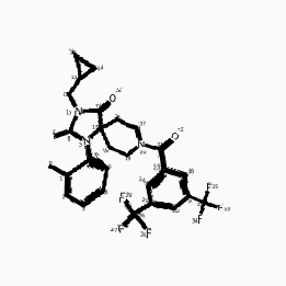 Cc1ccccc1N1C(C)N(CC2CC2)C(=O)C12CCN(C(=O)c1cc(C(F)(F)F)cc(C(F)(F)F)c1)CC2